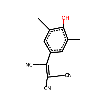 Cc1cc(C(C#N)=C(C#N)C#N)cc(C)c1O